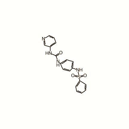 O=C(Nc1ccc(NS(=O)(=O)c2ccccc2)cc1)Nc1cccnc1